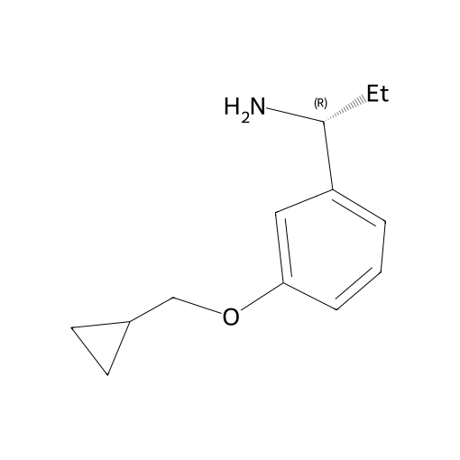 CC[C@@H](N)c1cccc(OCC2CC2)c1